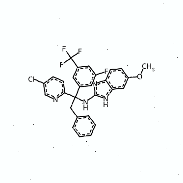 COc1ccc2nc(NC(Cc3ccccc3)(c3cc(F)cc(C(F)(F)F)c3)c3ccc(Cl)cn3)[nH]c2c1